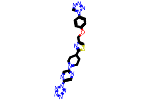 c1cc(-n2cnnn2)ccc1OCc1csc(C2CCN(c3cnc(-n4nnnn4)cn3)CC2)n1